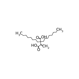 C=C(C(=O)O)C(CCCCCCCC)(CCCCCCCC)C(=O)O